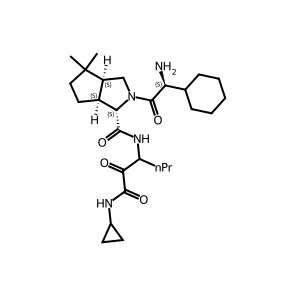 CCCC(NC(=O)[C@@H]1[C@H]2CCC(C)(C)[C@H]2CN1C(=O)[C@@H](N)C1CCCCC1)C(=O)C(=O)NC1CC1